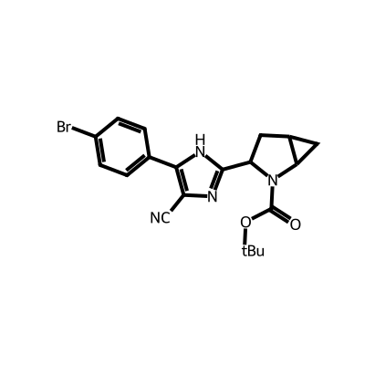 CC(C)(C)OC(=O)N1C(c2nc(C#N)c(-c3ccc(Br)cc3)[nH]2)CC2CC21